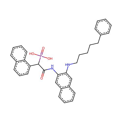 O=C(Nc1cc2ccccc2cc1NCCCCCc1ccccc1)C(c1cccc2ccccc12)P(=O)(O)O